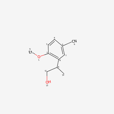 CCOc1ccc(C#N)cc1[C](C)CO